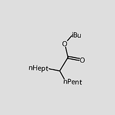 CCCCCCCC(CCCCC)C(=O)OC(C)CC